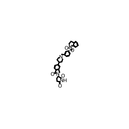 O=C1CCC(N2Cc3cc(C4CCN(Cc5cccc(S(=O)(=O)N6CCc7ccccc76)c5)CC4)ccc3C2=O)C(=O)N1